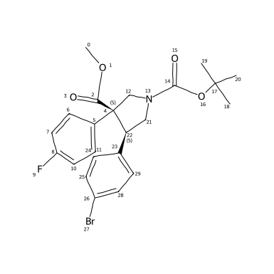 COC(=O)[C@@]1(c2ccc(F)cc2)CN(C(=O)OC(C)(C)C)C[C@H]1c1ccc(Br)cc1